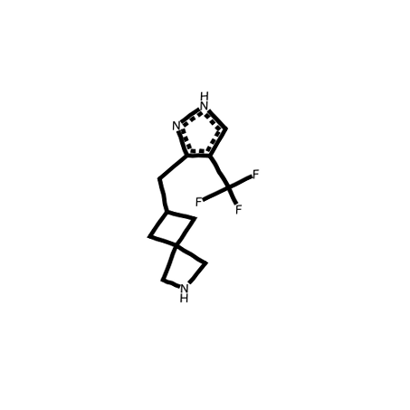 FC(F)(F)c1c[nH]nc1CC1CC2(CNC2)C1